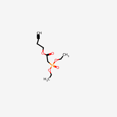 C#CCCOC(=O)CP(=O)(OCC)OCC